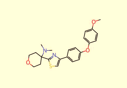 COc1ccc(Oc2ccc(-c3csc(C4(N(C)C)CCOCC4)n3)cc2)cc1